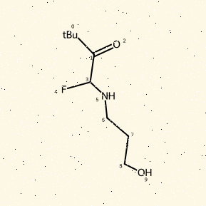 CC(C)(C)C(=O)C(F)NCCCO